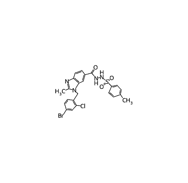 Cc1ccc(S(=O)(=O)NNC(=O)c2ccc3nc(C)n(Cc4ccc(Br)cc4Cl)c3c2)cc1